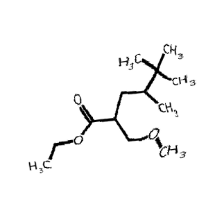 CCOC(=O)C(COC)CC(C)C(C)(C)C